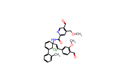 COCc1cc(C(=O)NC2(/C=C(\F)c3ccc(C=O)c(OC)c3)C=CC=C(c3ccccc3C)C2Cl)ncc1C=O